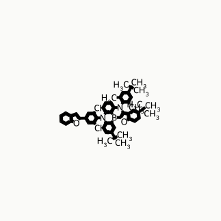 Cc1cc(-c2cc3ccccc3o2)cc(C)c1N1c2ccc(C(C)(C)C)cc2B2c3oc4ccc(C(C)(C)C)cc4c3N(c3c(C)cc(C(C)(C)C)cc3C)c3cccc1c32